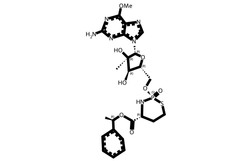 COc1nc(N)nc2c1ncn2[C@@H]1O[C@H](CO[P@@]2(=O)N[C@@H](C(=O)O[C@H](C)c3ccccc3)CCS2)[C@@H](O)[C@@]1(C)O